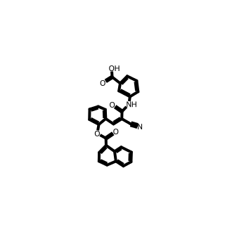 N#CC(=Cc1ccccc1OC(=O)c1cccc2ccccc12)C(=O)Nc1cccc(C(=O)O)c1